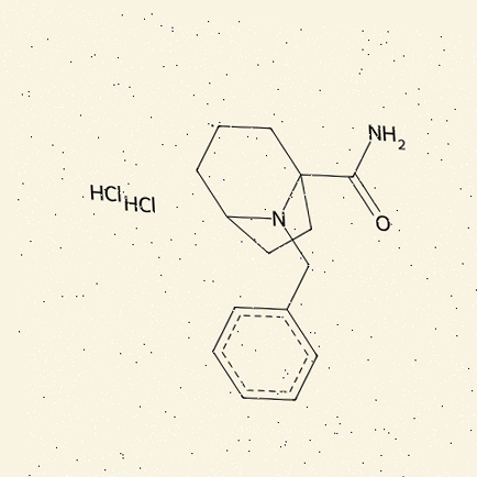 Cl.Cl.NC(=O)C12C[CH]CC(CC1)N2Cc1ccccc1